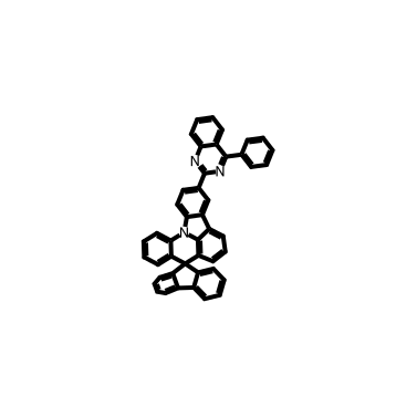 c1ccc(-c2nc(-c3ccc4c(c3)c3cccc5c3n4-c3ccccc3C53c4ccccc4-c4ccccc43)nc3ccccc23)cc1